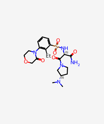 CCc1c(N2CCOCC2=O)cccc1S(=O)(=O)N[C@@H](C(N)=O)C(=O)N1CC[C@H](N(C)C)C1